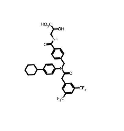 O=C(NCC(O)C(=O)O)c1ccc(CN(C(=O)Cc2cc(C(F)(F)F)cc(C(F)(F)F)c2)c2ccc(C3CCCCC3)cc2)cc1